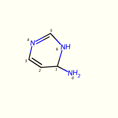 NC1C=CN=CN1